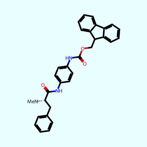 CN[C@@H](Cc1ccccc1)C(=O)Nc1ccc(NC(=O)OCC2c3ccccc3-c3ccccc32)cc1